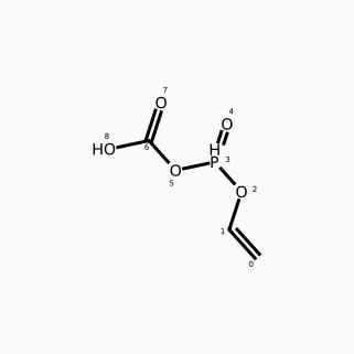 C=CO[PH](=O)OC(=O)O